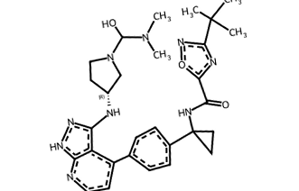 CN(C)C(O)N1CC[C@@H](Nc2n[nH]c3nccc(-c4ccc(C5(NC(=O)c6nc(C(C)(C)C)no6)CC5)cc4)c23)C1